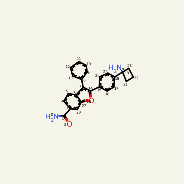 NC(=O)c1ccc2c(-c3ccccc3)c(-c3ccc(C4(N)CCC4)cc3)oc2c1